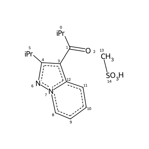 CC(C)C(=O)c1c(C(C)C)nn2ccccc12.CS(=O)(=O)O